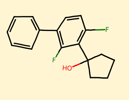 OC1(c2c(F)ccc(-c3ccccc3)c2F)CCCC1